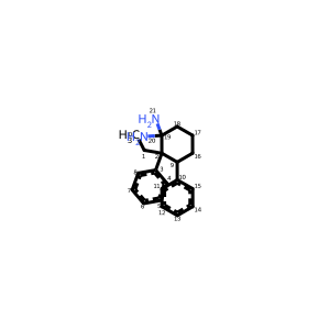 CCC1(c2ccccc2)C(c2ccccc2)CCCC1(N)N